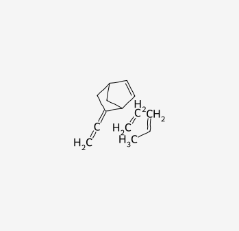 C=C.C=C=C1CC2C=CC1C2.C=CC